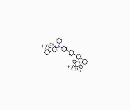 CC1(C)C2=C(CCC=C2)c2ccc(N(c3ccccc3)c3ccc(-c4ccc(-c5ccc6c(c5)C5(c7ccccc7-6)c6ccccc6C(C)(C)c6ccccc65)cc4)cc3)cc21